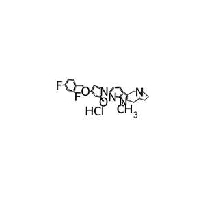 Cl.Cn1c2c(c3ccc(-n4ccc(OCc5ccc(F)cc5F)cc4=O)nc31)CN1CCCC1C2